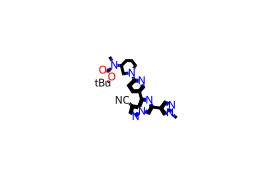 CN(C(=O)OC(C)(C)C)C1CCCN(c2ccc(-c3nc(-c4cnn(C)c4)cn4ncc(C#N)c34)cn2)C1